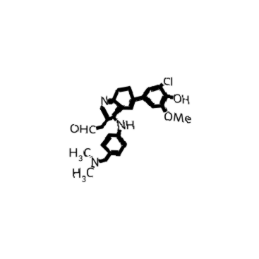 COc1cc(-c2ccc3ncc(CC=O)c(Nc4ccc(CN(C)C)cc4)c3c2)cc(Cl)c1O